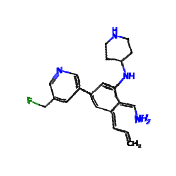 C=C/C=c1/cc(-c2cncc(CF)c2)cc(NC2CCNCC2)/c1=C/N